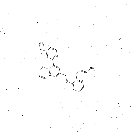 NCc1cccc(-c2cc(COc3ccccc3C/C=N/N)cc3c2OCC=C3)c1